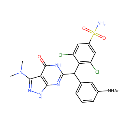 CC(=O)Nc1cccc(C(c2nc3[nH]nc(N(C)C)c3c(=O)[nH]2)c2c(Cl)cc(S(N)(=O)=O)cc2Cl)c1